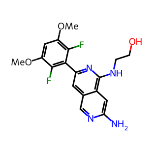 COc1cc(OC)c(F)c(-c2cc3cnc(N)cc3c(NCCO)n2)c1F